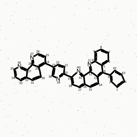 c1ccc(-c2c3ccccc3nc3c2ccc2ccc(-c4ccc(-c5ccnc6c5ccc5cccnc56)cn4)nc23)cc1